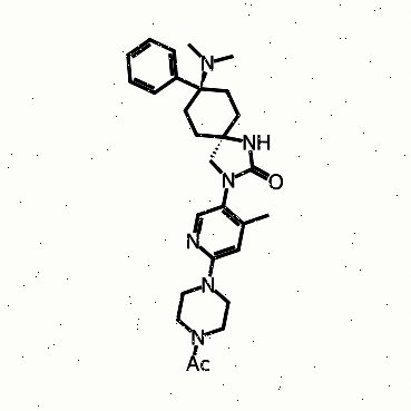 CC(=O)N1CCN(c2cc(C)c(N3C[C@]4(CC[C@](c5ccccc5)(N(C)C)CC4)NC3=O)cn2)CC1